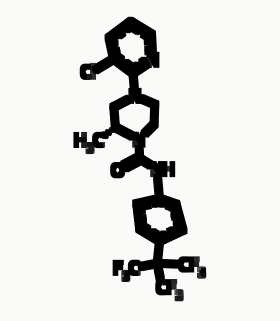 C[C@@H]1CN(c2ncccc2Cl)CCN1C(=O)Nc1ccc(C(C(F)(F)F)(C(F)(F)F)C(F)(F)F)cc1